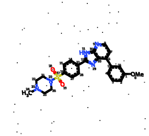 COc1cccc(-c2ccnc3[nH]c(-c4ccc(S(=O)(=O)N5CCN(C)CC5)cc4)nc23)c1